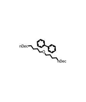 CCCCCCCCCCCCCCOCCCCCCCCCCCCCC.c1ccc(-c2ccccc2)cc1